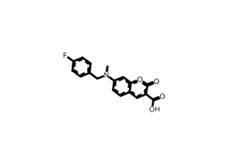 CN(Cc1ccc(F)cc1)c1ccc2cc(C(=O)O)c(=O)oc2c1